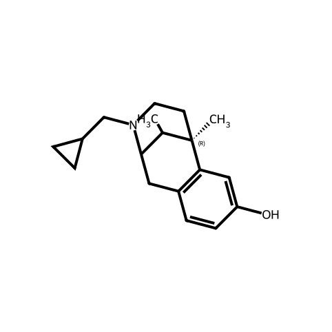 CC1C2Cc3ccc(O)cc3[C@]1(C)CCN2CC1CC1